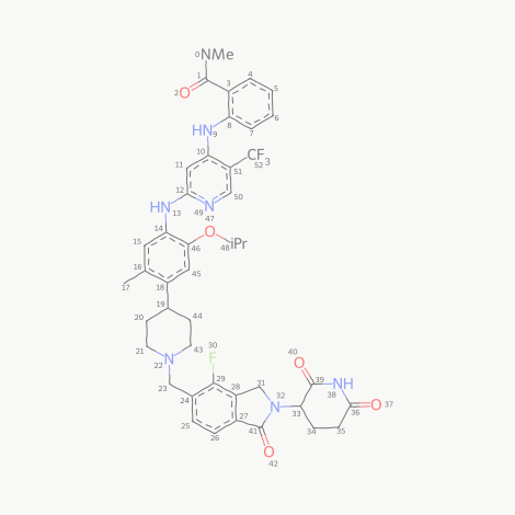 CNC(=O)c1ccccc1Nc1cc(Nc2cc(C)c(C3CCN(Cc4ccc5c(c4F)CN(C4CCC(=O)NC4=O)C5=O)CC3)cc2OC(C)C)ncc1C(F)(F)F